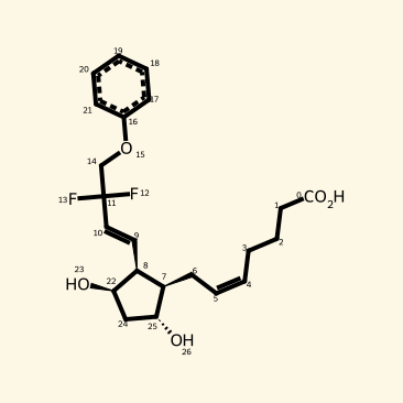 O=C(O)CCC/C=C\C[C@@H]1[C@H](C=CC(F)(F)COc2ccccc2)[C@H](O)C[C@H]1O